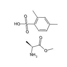 COC(=O)[C@H](C)N.Cc1ccc(S(=O)(=O)O)c(C)c1